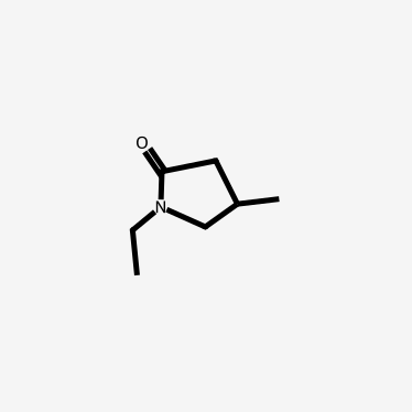 CCN1CC(C)CC1=O